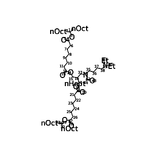 CCCCCCCCC(CCCCCCCC)OC(=O)CCCCCCC(=O)OCC(COC(=O)CCCCCCC(=O)OC(CCCCCCCC)CCCCCCCC)CN(CCCCN(CC)CC)C(=O)CCCCCCC